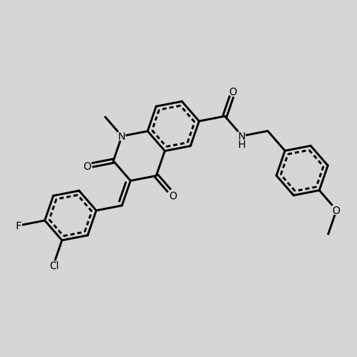 COc1ccc(CNC(=O)c2ccc3c(c2)C(=O)/C(=C/c2ccc(F)c(Cl)c2)C(=O)N3C)cc1